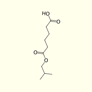 CC(C)COC(=O)CCCCC(=O)O